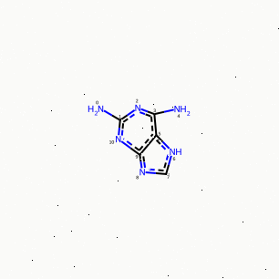 Nc1nc(N)c2[nH][c]nc2n1